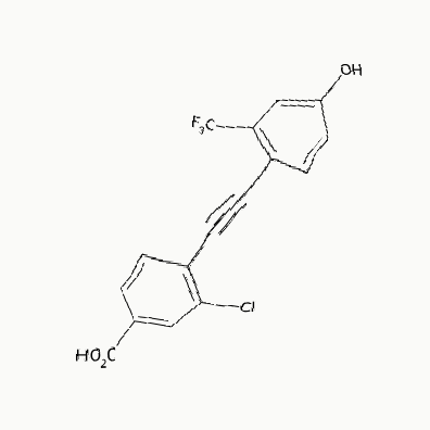 O=C(O)c1ccc(C#Cc2ccc(O)cc2C(F)(F)F)c(Cl)c1